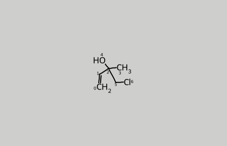 C=CC(C)(O)CCl